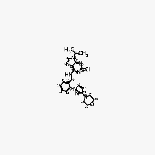 CC(C)n1cnc2c(NCc3ccccc3-n3ccc(N4CCOCC4)n3)nc(Cl)nc21